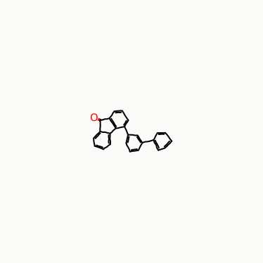 O=C1c2ccccc2-c2c1cccc2-c1cccc(-c2ccccc2)c1